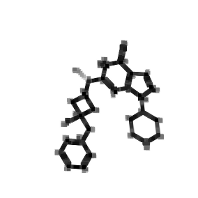 C[C@H](c1nc2c(cnn2C2CCOCC2)c(=O)[nH]1)N1CC(F)(Cc2ccccc2)C1